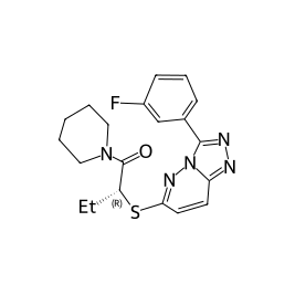 CC[C@@H](Sc1ccc2nnc(-c3cccc(F)c3)n2n1)C(=O)N1CCCCC1